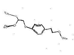 CCOC(COc1ccc(CCOSC)cc1)OCC